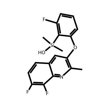 Cc1nc2c(F)c(F)ccc2cc1Oc1cccc(F)c1[Si](C)(C)O